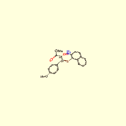 COC(=O)[C@H](O)[C@@H](Sc1c(N)ccc2ccccc12)c1ccc(OC)cc1